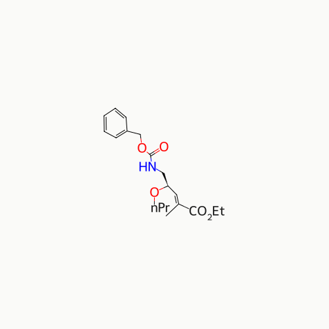 CCCO[C@H](C=C(C)C(=O)OCC)CNC(=O)OCc1ccccc1